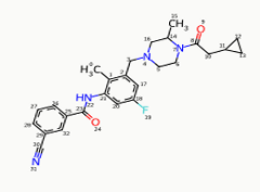 Cc1c(CN2CCN(C(=O)CC3CC3)C(C)C2)cc(F)cc1NC(=O)c1cccc(C#N)c1